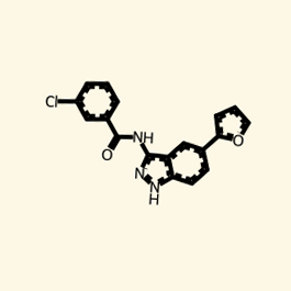 O=C(Nc1n[nH]c2ccc(-c3ccco3)cc12)c1cccc(Cl)c1